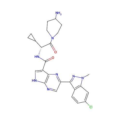 Cn1nc(-c2cnc3[nH]cc(C(=O)N[C@@H](C(=O)N4CCC(N)CC4)C4CC4)c3n2)c2ccc(Cl)cc21